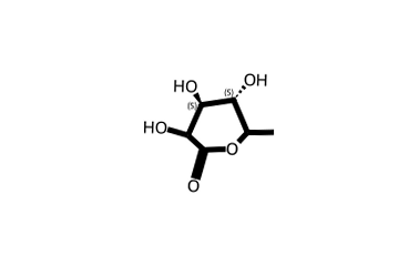 CC1OC(=O)C(O)[C@@H](O)[C@@H]1O